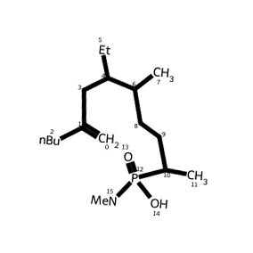 C=C(CCCC)CC(CC)C(C)CCC(C)P(=O)(O)NC